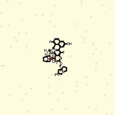 C#Cc1c(F)ccc2cc(O)cc(-c3nc(N(C)C)c4c(N5CC6CCC(C5)N6C(=O)C(F)(F)F)nc(OC[C@]56CCCN5C[C@@H](F)C6)nc4c3F)c12